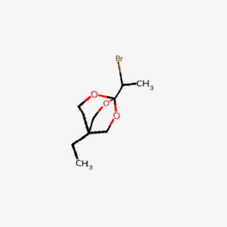 CCC12COC(C(C)Br)(OC1)OC2